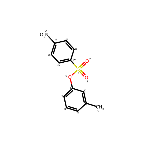 Cc1cccc(OS(=O)(=O)c2ccc([N+](=O)[O-])cc2)c1